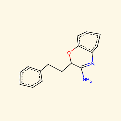 NC1=Nc2ccccc2OC1CCc1ccccc1